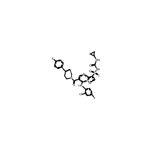 O=C(NC1CC1)NS(=O)(=O)c1cnn2c(Nc3ccc(F)cc3Cl)c(C(=O)N3CCC(c4ccc(F)cc4)CC3)cnc12